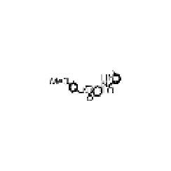 COc1ccc(CN2CC[C@]3(CCC[C@H](NC(=O)c4cccc(C)n4)C3)C2=O)cc1